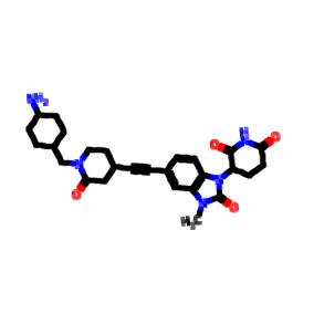 Cn1c(=O)n(C2CCC(=O)NC2=O)c2ccc(C#CC3CCN(CC4CCC(N)CC4)C(=O)C3)cc21